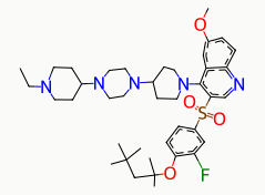 CCN1CCC(N2CCN(C3CCN(c4c(S(=O)(=O)c5ccc(OC(C)(C)CC(C)(C)C)c(F)c5)cnc5ccc(OC)cc45)CC3)CC2)CC1